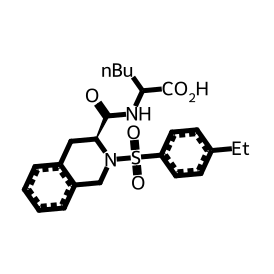 CCCCC(NC(=O)[C@@H]1Cc2ccccc2CN1S(=O)(=O)c1ccc(CC)cc1)C(=O)O